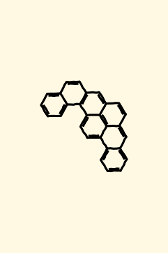 c1ccc2c(c1)cc1ccc3cc4ccc5ccccc5c4c4ccc2c1c34